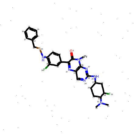 CC(C)n1c(=O)c(-c2ccc(NSCc3ccccc3)c(F)c2)nc2cnc(NC3CCC(N(C)C)C(F)C3)nc21